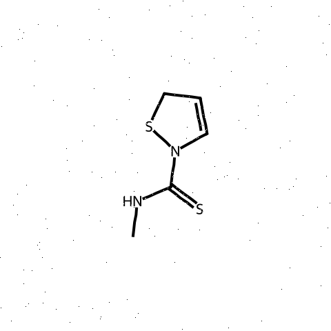 CNC(=S)N1C=CCS1